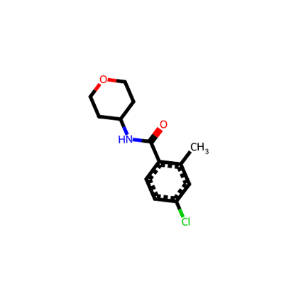 Cc1cc(Cl)ccc1C(=O)NC1CCOCC1